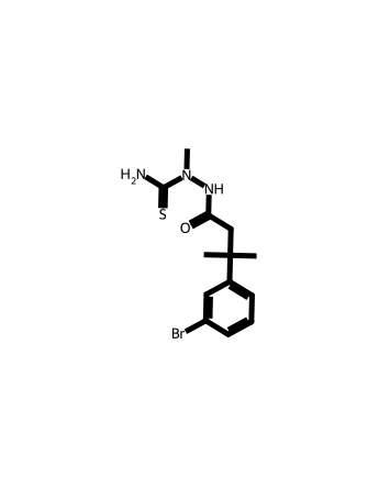 CN(NC(=O)CC(C)(C)c1cccc(Br)c1)C(N)=S